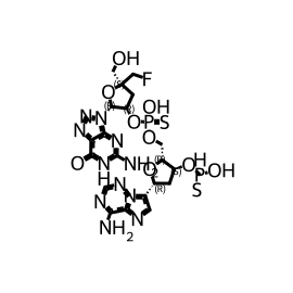 Nc1nc2c(nnn2[C@@H]2O[C@@](CO)(CF)C[C@H]2OP(O)(=S)OC[C@H]2O[C@@H](c3cnc4c(N)ncnn34)C[C@@H]2O[PH](O)=S)c(=O)[nH]1